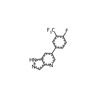 Fc1ccc(-c2cnc3cn[nH]c3c2)cc1C(F)(F)F